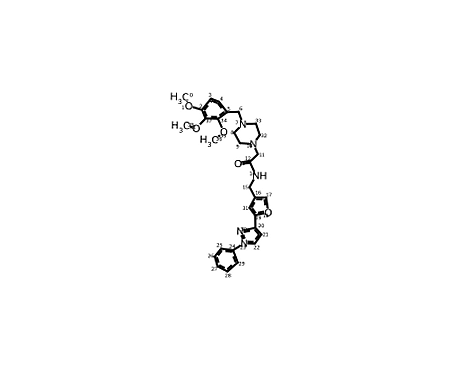 COc1ccc(CN2CCN(CC(=O)NCc3coc(-c4ccn(-c5ccccc5)n4)c3)CC2)c(OC)c1OC